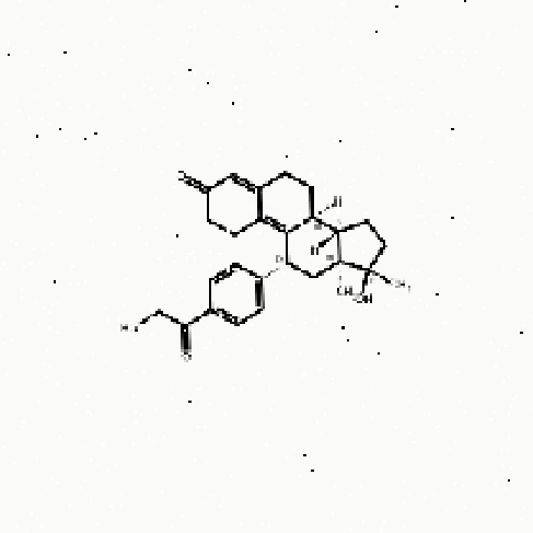 C[C@]1(O)CC[C@H]2[C@@H]3CCC4=CC(=O)CCC4=C3[C@@H](c3ccc(C(=O)CO)cc3)C[C@@]21C